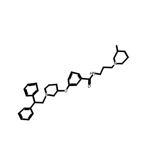 CC1CCCN(CCCNC(=O)c2cccc(OC3CCCN(CC(c4ccccc4)c4ccccc4)C3)c2)C1